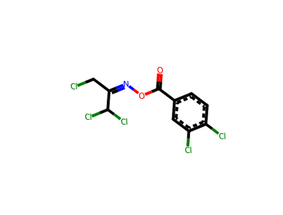 O=C(ON=C(CCl)C(Cl)Cl)c1ccc(Cl)c(Cl)c1